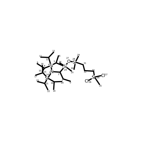 CCC(N([Si](C(C)C)(C(C)C)C(C)C)[Si](C(C)C)(C(C)C)C(C)C)[Si](C)(C)O[Si](C)(C)CCC[Si](C)(Cl)Cl